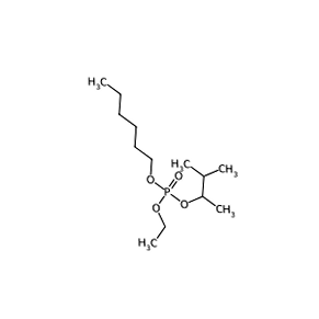 CCCCCCOP(=O)(OCC)OC(C)C(C)C